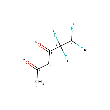 CC(=O)CC(=O)C(F)(F)C(F)F